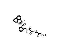 C[C@@H](NC(=O)c1ccccc1CNC(=O)C(=O)NCCC(=O)CO)c1cccc2ccccc12